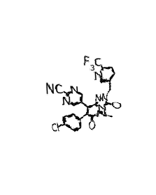 Cn1c(=O)c(-c2ccc(Cl)cc2)c(-c2cnc(C#N)nc2)c2nn(Cc3ccc(C(F)(F)F)nc3)c(=O)n21